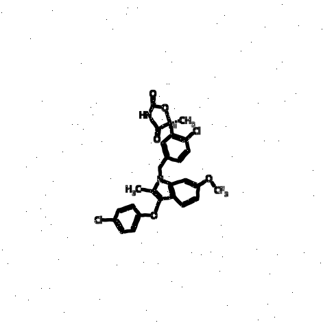 Cc1c(Oc2ccc(Cl)cc2)c2ccc(OC(F)(F)F)cc2n1Cc1ccc(Cl)c([C@]2(C)OC(=O)NC2=O)c1